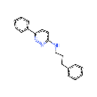 c1ccc(CCCNc2ccc(-c3ccccc3)nn2)cc1